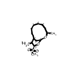 CC1CCCCCCC2CC(O1)O[C@@H](S(C)(=O)=O)C2C